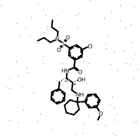 CCCN(CCC)S(=O)(=O)c1cc(Cl)cc(C(=O)N[C@@H](Cc2ccccc2)[C@H](O)CNC2(c3cccc(OC)c3)CCCCC2)c1